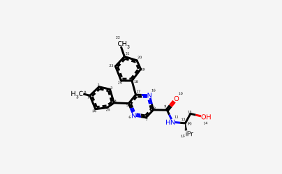 Cc1ccc(-c2ncc(C(=O)N[C@@H](CO)C(C)C)nc2-c2ccc(C)cc2)cc1